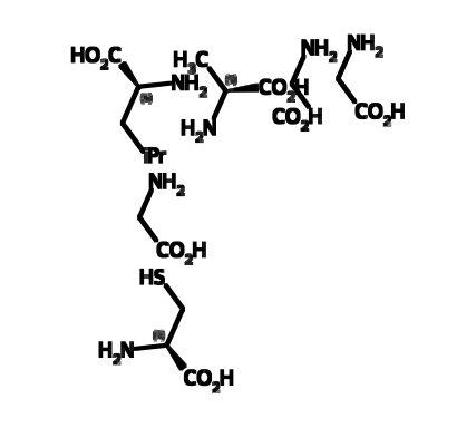 CC(C)C[C@H](N)C(=O)O.C[C@H](N)C(=O)O.NCC(=O)O.NCC(=O)O.NCC(=O)O.N[C@@H](CS)C(=O)O